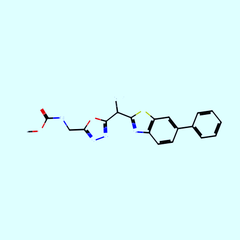 CC(=O)NC(c1nnc(CNC(=O)OC(C)(C)C)o1)c1nc2ccc(-c3ccccc3)cc2s1